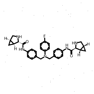 O=C(Nc1ccc(CN(Cc2ccc(NC(=O)[C@H]3NC[C@@H]4C[C@@H]43)cc2)c2ccc(F)cc2)cc1)[C@H]1NC[C@@H]2C[C@@H]21